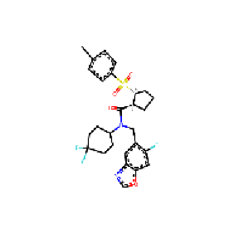 Cc1ccc(S(=O)(=O)[C@@H]2CCC[C@H]2C(=O)N(Cc2cc3ncoc3cc2F)C2CCC(F)(F)CC2)cc1